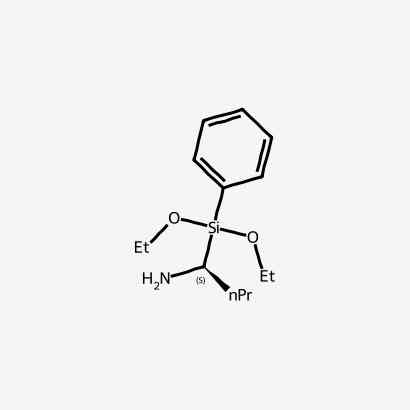 CCC[C@@H](N)[Si](OCC)(OCC)c1ccccc1